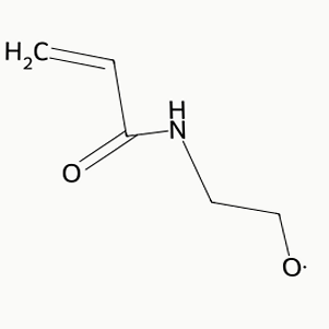 C=CC(=O)NCC[O]